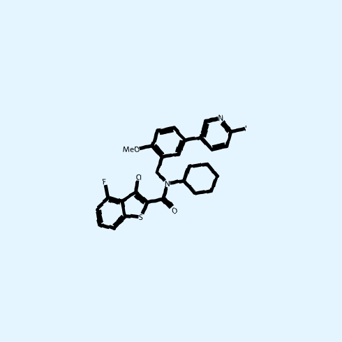 COc1ccc(-c2ccc(I)nc2)cc1CN(C(=O)c1sc2cccc(F)c2c1Cl)C1CCCCC1